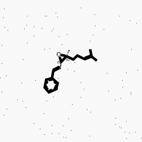 CC(C)=CCC[C@]1(C)O[C@H]1C=Cc1ccccc1